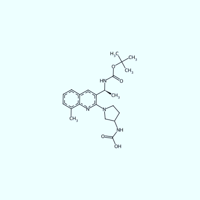 Cc1cccc2cc([C@H](C)NC(=O)OC(C)(C)C)c(N3CCC(NC(=O)O)C3)nc12